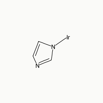 [Ir][n]1ccnc1